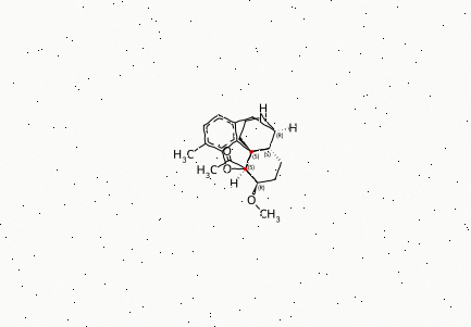 CO[C@]12CC[C@@]3(C[C@@H]1C(C)=O)[C@H]1Cc4ccc(C)c5c4[C@@]3(CCN1)C2O5